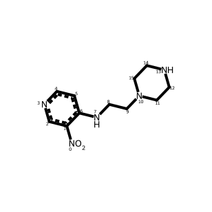 O=[N+]([O-])c1cnccc1NCCN1CCNCC1